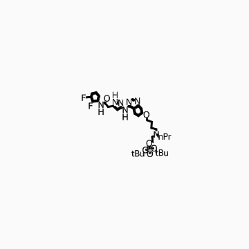 CCCN(CCCCOc1ccc2c(Nc3cc(CC(=O)Nc4cccc(F)c4F)[nH]n3)ncnc2c1)CCOP(=O)(OC(C)(C)C)OC(C)(C)C